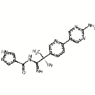 CC(C)[C@@](C)(C(=N)NC(=O)c1cn[nH]c1)c1ccc(-c2cnc(N)nc2)nc1